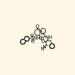 [N-]=[N+]=CC(=O)[C@H](Cc1ccccc1)NC(=O)[C@@H]1CCCN2C(=O)CCC(NS(=O)(=O)c3ccc4ccccc4c3)C(=O)N12